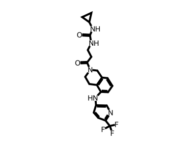 O=C(NCCC(=O)N1CCc2c(cccc2Nc2ccc(C(F)(F)F)nc2)C1)NC1CC1